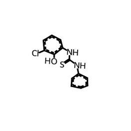 Oc1c(Cl)cccc1NC(=S)Nc1ccccc1